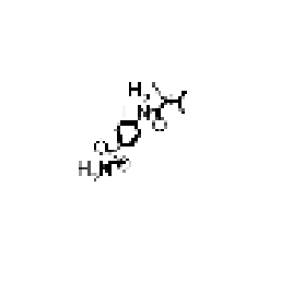 CC(C)[C@H](N)C(=O)Nc1ccc(S(N)(=O)=O)cc1